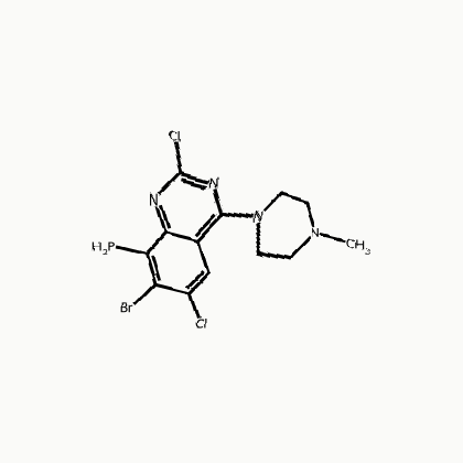 CN1CCN(c2nc(Cl)nc3c(P)c(Br)c(Cl)cc23)CC1